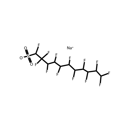 O=S(=O)([O-])C(F)C(F)(F)C(F)C(F)C(F)C(F)C(F)C(F)C(F)C(F)C(F)F.[Na+]